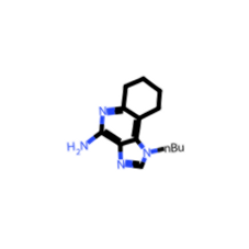 CCCCn1cnc2c(N)nc3c(c21)CCCC3